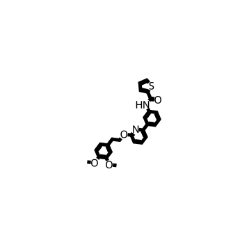 COc1ccc(CCOc2cccc(-c3cccc(NC(=O)c4cccs4)c3)n2)cc1OC